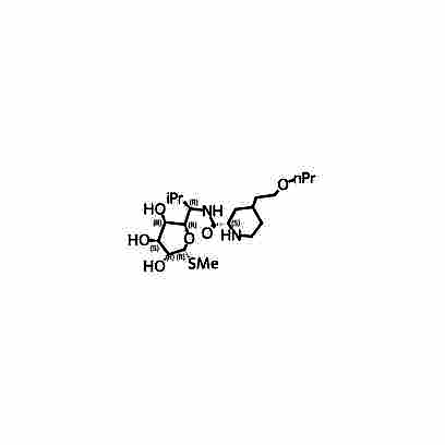 CCCOCCC1CCN[C@H](C(=O)N[C@H](C(C)C)[C@H]2O[C@H](SC)[C@H](O)[C@@H](O)[C@H]2O)C1